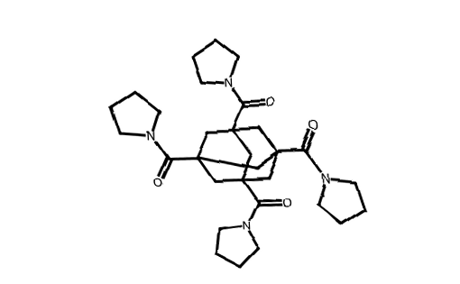 O=C(N1CCCC1)C12CC3(C(=O)N4CCCC4)CC(C(=O)N4CCCC4)(C1)CC(C(=O)N1CCCC1)(C2)C3